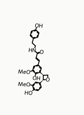 COc1cc([C@@H]2OC[C@@H]2c2cc(/C=C/C(=O)NCCc3ccc(O)cc3)cc(OC)c2O)ccc1O